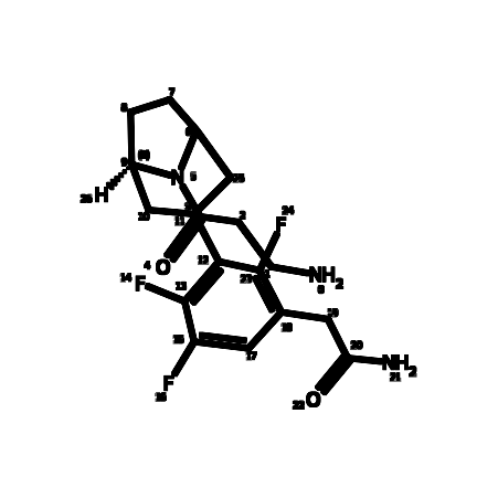 NCCC(=O)N1C2CC[C@@H]1CC(c1c(F)c(F)cc(CC(N)=O)c1F)C2